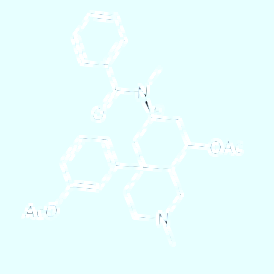 CC(=O)Oc1cccc(C23CCN(C)CC2C(OC(C)=O)C[C@H](N(C)C(=O)c2ccccc2)C3)c1